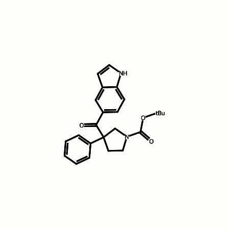 CC(C)(C)OC(=O)N1CCC(C(=O)c2ccc3[nH]ccc3c2)(c2ccccc2)C1